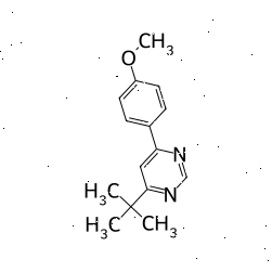 COc1ccc(-c2cc(C(C)(C)C)ncn2)cc1